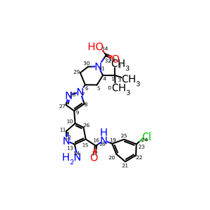 CC(C)(C)C1CC(n2cc(-c3cnc(N)c(C(=O)Nc4cccc(Cl)c4)c3)cn2)CCN1C(=O)O